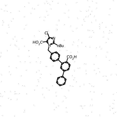 CCCCc1nc(Cl)c(C(=O)O)n1Cc1ccc(-c2cc(-c3ccccc3)ccc2C(=O)O)cc1